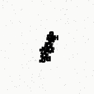 CN=C(c1ccc(OC)c(Cl)c1)N1CCCc2cc(C3=NNC(=O)SC3)ccc21